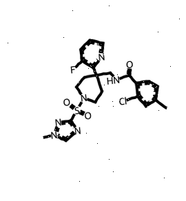 Cc1ccc(C(=O)NCC2(c3ncccc3F)CCN(S(=O)(=O)c3ncn(C)n3)CC2)c(Cl)c1